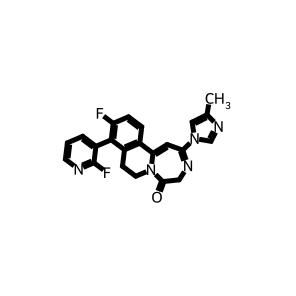 Cc1cn(C2=NCC(=O)N3CCc4c(ccc(F)c4-c4cccnc4F)C3=C2)cn1